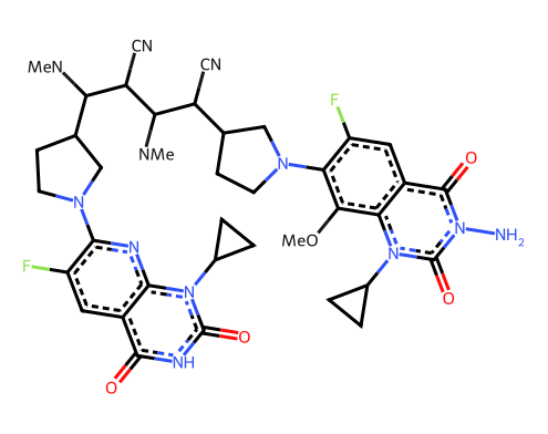 CNC(C1CCN(c2nc3c(cc2F)c(=O)[nH]c(=O)n3C2CC2)C1)C(C#N)C(NC)C(C#N)C1CCN(c2c(F)cc3c(=O)n(N)c(=O)n(C4CC4)c3c2OC)C1